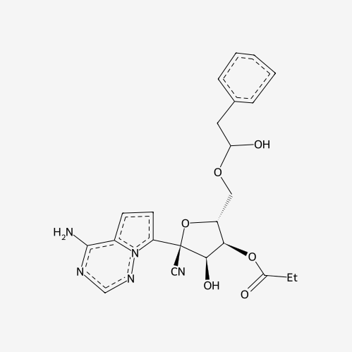 CCC(=O)O[C@H]1[C@@H](O)[C@](C#N)(c2ccc3c(N)ncnn23)O[C@@H]1COC(O)Cc1ccccc1